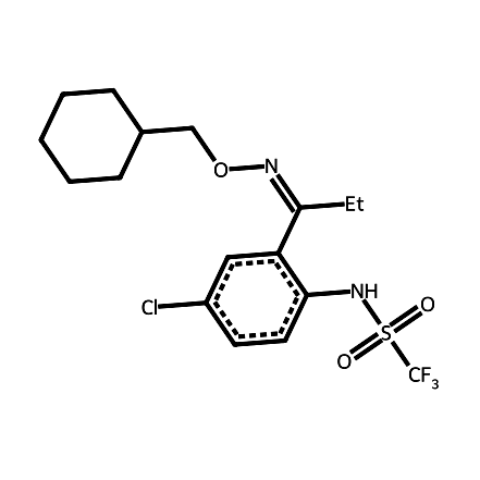 CCC(=NOCC1CCCCC1)c1cc(Cl)ccc1NS(=O)(=O)C(F)(F)F